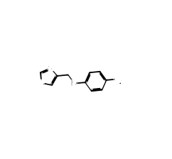 COc1ccc(NCc2cs[c]n2)cc1